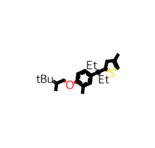 CCC(CC)(c1ccc(OCC(C)C(C)(C)C)c(C)c1)C1CC(C)=CS1